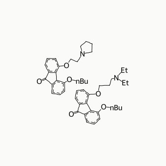 CCCCOc1cccc2c1-c1c(OCCCN(CC)CC)cccc1C2=O.CCCCOc1cccc2c1-c1c(OCCN3CCCC3)cccc1C2=O